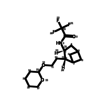 O=C(N[C@H]1CC2CC(C2)[C@@H]1CCOC1CCCCO1)C(F)(F)F